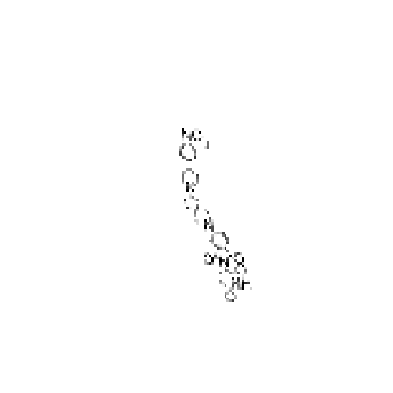 O=C1CCC(N2C(=O)c3ccc(N4CCC5(CCC(N6CCC(c7ccc([N+](=O)[O-])cc7)CC6)C5)CC4)cc3C2=O)C(=O)N1